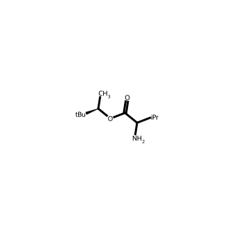 CC(C)C(N)C(=O)O[C@H](C)C(C)(C)C